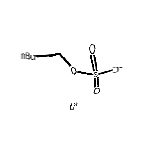 CCCCCOS(=O)(=O)[O-].[Li+]